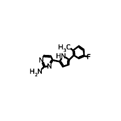 Cc1ccc(F)cc1-c1ccc(-c2ccnc(N)n2)[nH]1